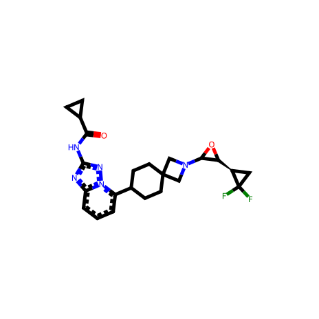 O=C(Nc1nc2cccc(C3CCC4(CC3)CN(C3OC3[C@H]3CC3(F)F)C4)n2n1)C1CC1